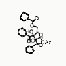 CC(=O)O[C@@H]1O[C@H](COC(=O)c2ccccc2)[C@](O)(C(=O)c2ccccc2)[C@]1(O)C(=O)c1ccccc1